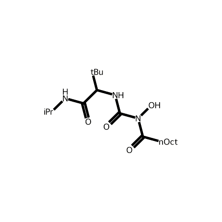 CCCCCCCCC(=O)N(O)C(=O)NC(C(=O)NC(C)C)C(C)(C)C